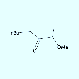 CCCCCC(=O)C(C)OC